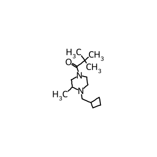 CC1CN(C(=O)C(C)(C)C)CCN1CC1CCC1